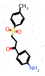 Cc1ccc(S(=O)(=O)CCC(=O)c2ccc(N)cc2)cc1